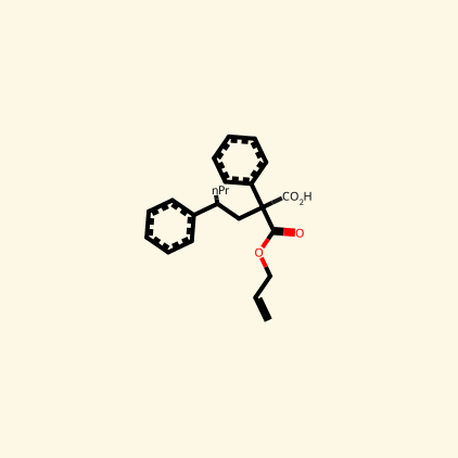 C=CCOC(=O)C(CC(CCC)c1ccccc1)(C(=O)O)c1ccccc1